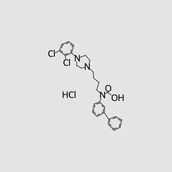 Cl.O=C(O)N(CCCCN1CCN(c2cccc(Cl)c2Cl)CC1)c1cccc(-c2ccccc2)c1